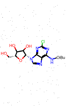 CC(C)CONc1nc(Cl)nc2c1ncn2[C@@H]1O[C@H](CO)C(O)C1O